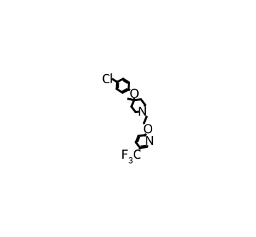 CC1(Oc2ccc(Cl)cc2)CCN(CCOc2ccc(C(F)(F)F)cn2)CC1